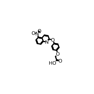 O=C(O)COc1ccc(Oc2ccc3c([N+](=O)[O-])cccc3n2)cc1